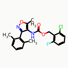 Cc1cccc(C)c1-c1noc(C)c1NC(=O)OCc1c(F)cccc1Cl